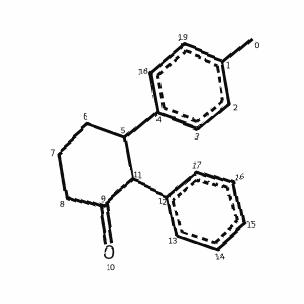 Cc1ccc(C2CCCC(=O)C2c2ccccc2)cc1